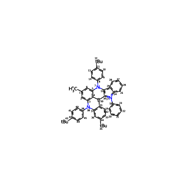 Cc1cc2c3c(c1)N(c1ccc(C(C)(C)C)cc1)c1c(n(-c4ccccc4)c4ccccc14)B3c1ccc(C(C)(C)C)cc1N2c1ccc(C(C)(C)C)cc1